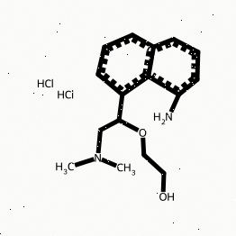 CN(C)CC(OCCO)c1cccc2cccc(N)c12.Cl.Cl